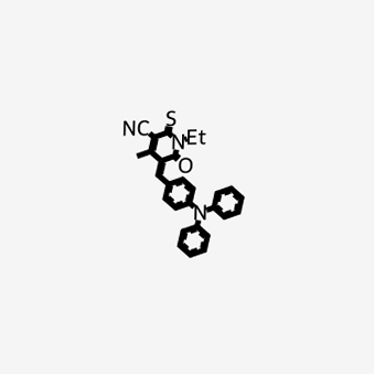 CCN1C(=O)/C(=C\c2ccc(N(c3ccccc3)c3ccccc3)cc2)C(C)=C(C#N)C1=S